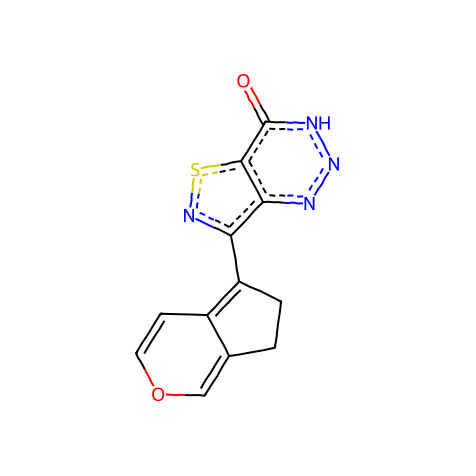 O=c1[nH]nnc2c(C3=C4C=COC=C4CC3)nsc12